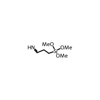 CO[Si](CCC=N)(OC)OC